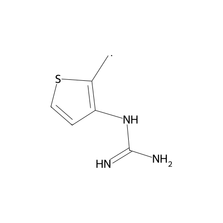 [CH2]c1sccc1NC(=N)N